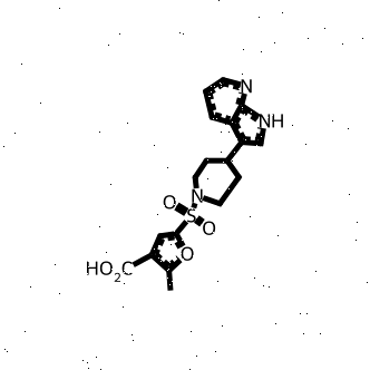 Cc1oc(S(=O)(=O)N2CCC(c3c[nH]c4ncccc34)CC2)cc1C(=O)O